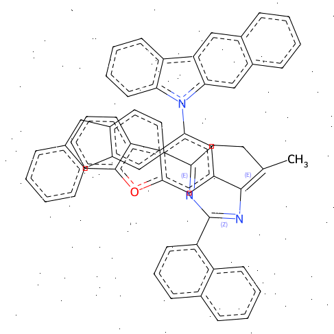 C\C1=C(c2cc(-n3c4ccccc4c4cc5ccccc5cc43)c3c(c2)oc2ccccc23)/N=C(c2cccc3ccccc23)\N=C(\c2ccc3c(c2)-c2ccccc2C3)CC1